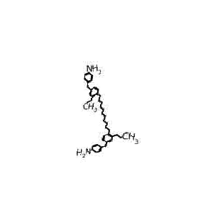 CCCc1cc(Cc2ccc(N)cc2)ccc1CCCCCCCCCCCc1ccc(Cc2ccc(N)cc2)cc1CCC